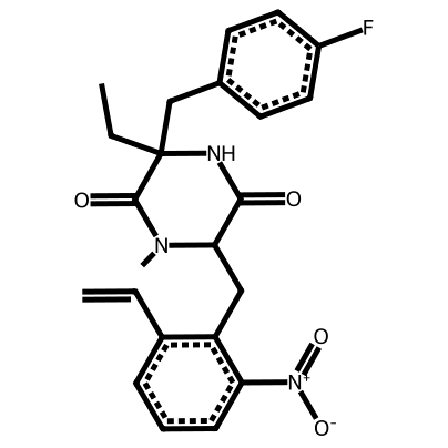 C=Cc1cccc([N+](=O)[O-])c1CC1C(=O)NC(CC)(Cc2ccc(F)cc2)C(=O)N1C